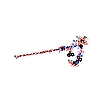 CC[C@@]1(O)C(=O)OCc2c1cc1n(c2=O)Cc2c-1nc1ccc(NC(=O)CNC(=O)OCc3ccc(O[C@@H]4O[C@H](C(=O)O)[C@@H](OC(C)=O)[C@H](OC(C)=O)[C@H]4OC(C)=O)c(CNC(=O)CCNC(=O)[C@H](CCCC(=O)N[C@H]4CO[C@H]5[C@@H]4OC[C@@H]5NC(=O)CCOCCOCCOCCOCCOCCOCCOCCOCCOCCOCCOCCOC)NC(=O)OCC4c5ccccc5-c5ccccc54)c3)c3c1c2CCC3